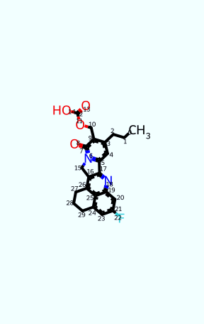 CCCc1cc2n(c(=O)c1COC(=O)O)Cc1c-2nc2cc(F)cc3c2c1CCC3